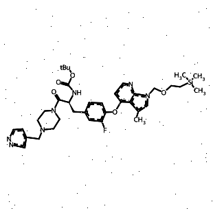 Cc1cn(COCC[Si](C)(C)C)c2nccc(Oc3ccc(C[C@H](NC(=O)OC(C)(C)C)C(=O)N4CCN(Cc5ccnnc5)CC4)cc3F)c12